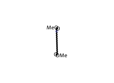 COC(=O)C/C=C/CCCCCCCCCCCCCCCCCCCCCC(=O)OC